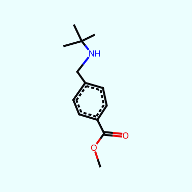 COC(=O)c1ccc(CNC(C)(C)C)cc1